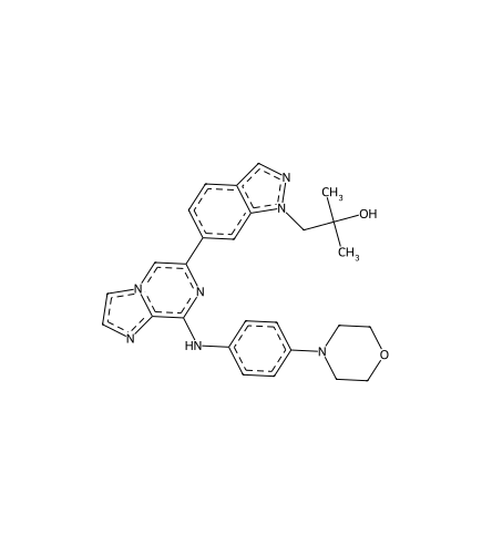 CC(C)(O)Cn1ncc2ccc(-c3cn4ccnc4c(Nc4ccc(N5CCOCC5)cc4)n3)cc21